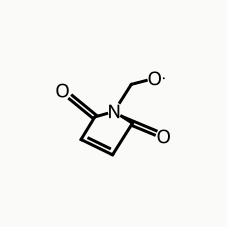 [O]CN1C(=O)C=CC1=O